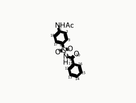 CC(=O)Nc1ccc(S(=O)(=O)NC(=O)c2ccccc2)cc1